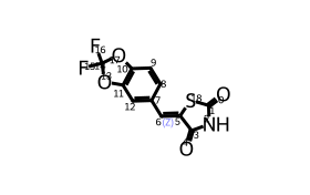 O=C1NC(=O)/C(=C/c2ccc3c(c2)OC(F)(F)O3)S1